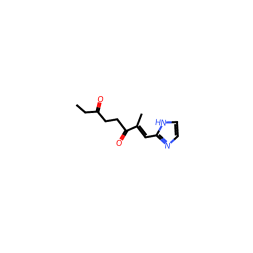 CCC(=O)CCC(=O)/C(C)=C/c1ncc[nH]1